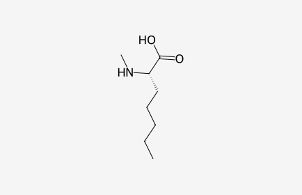 CCCCC[C@H](NC)C(=O)O